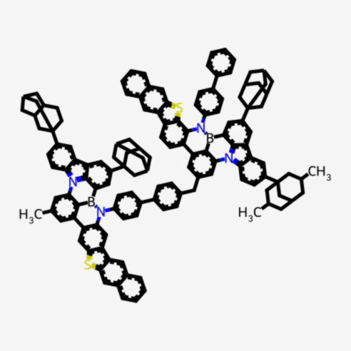 Cc1cc2c3c(c1)-n1c4ccc(C56CCC7CC(CC7C5)C6)cc4c4cc(C56CC7CC(CC(C7)C5)C6)cc(c41)B3N(c1ccc(-c3ccc(Cc4cc5c6c(c4)-n4c7ccc(C89CC(C)CC(CC(C)C8)C9)cc7c7cc(C89CC%10CC(CC(C%10)C8)C9)cc(c74)B6N(c4ccc(-c6ccccc6)cc4)c4c-5ccc5c4sc4cc6ccccc6cc45)cc3)cc1)c1cc3c(cc1-2)sc1cc2ccccc2cc13